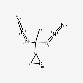 CC(N=[N+]=[N-])(N=[N+]=[N-])C1CO1